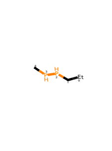 CCCPPC